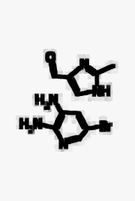 Cc1nc(C=O)c[nH]1.Nc1cc(Br)cnc1N